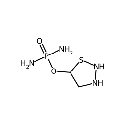 NP(N)(=O)OC1CNNS1